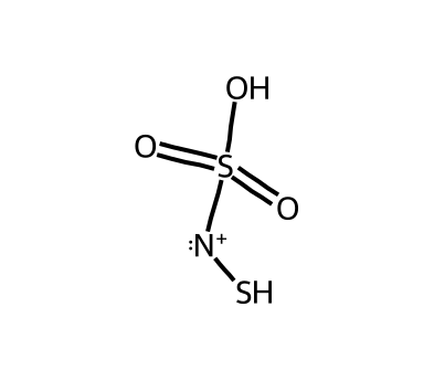 O=S(=O)(O)[N+]S